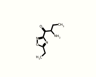 CCc1nc(C(=O)C(N)CC)no1